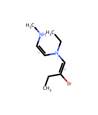 CC/C(Br)=C\N(/C=C\NC)CC